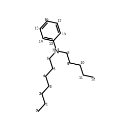 CCCCCCCN(CCCCC)c1ccccc1